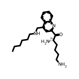 CCCCCCNCc1cc(C(=O)[C@@H](N)CCCCN)nc2ccccc12